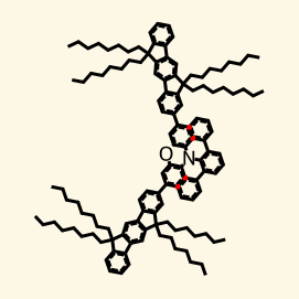 CCCCCCCCC1(CCCCCCCC)c2ccccc2-c2cc3c(cc21)-c1ccc(-c2ccc4c(c2)Oc2cc(-c5ccc6c(c5)C(CCCCCCCC)(CCCCCCCC)c5cc7c(cc5-6)C(CCCCCCCC)(CCCCCCCC)c5ccccc5-7)ccc2N4c2c(-c4ccccc4)cccc2-c2ccccc2)cc1C3(CCCCCCC)CCCCCCC